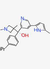 Cc1ccc(-c2cncc([C@@](O)(c3ccc(C(C)C)cc3)C3(C)CN(C)C3)c2)[nH]1